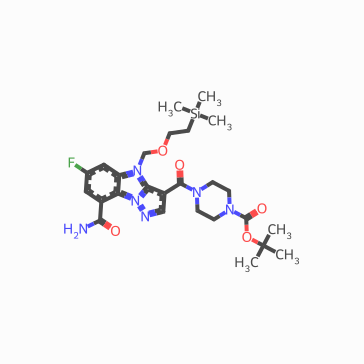 CC(C)(C)OC(=O)N1CCN(C(=O)c2cnn3c4c(C(N)=O)cc(F)cc4n(COCC[Si](C)(C)C)c23)CC1